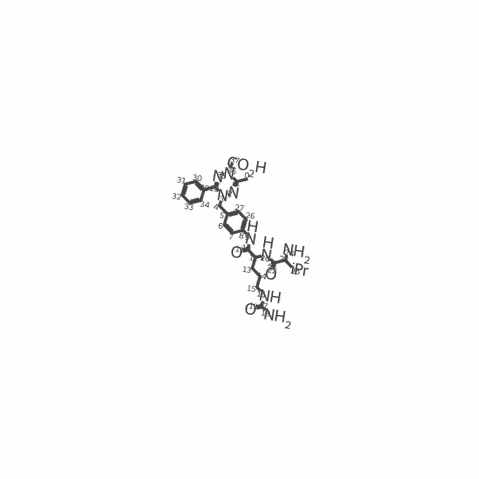 CC1=NN(Cc2ccc(NC(=O)C(CCCNC(N)=O)NC(=O)C(N)C(C)C)cc2)C(c2ccccc2)=NN1C(=O)O